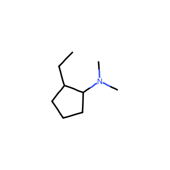 CCC1CCCC1N(C)C